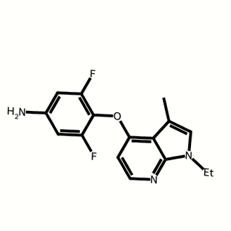 CCn1cc(C)c2c(Oc3c(F)cc(N)cc3F)ccnc21